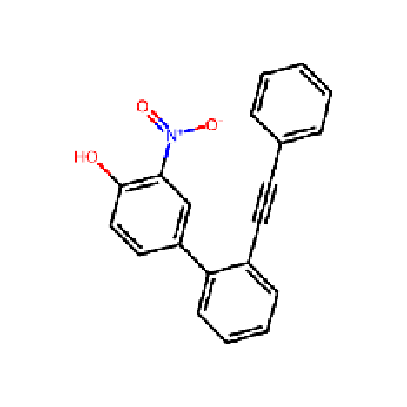 O=[N+]([O-])c1cc(-c2ccccc2C#Cc2ccccc2)ccc1O